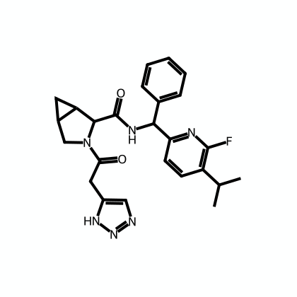 CC(C)c1ccc(C(NC(=O)C2C3CC3CN2C(=O)Cc2cnn[nH]2)c2ccccc2)nc1F